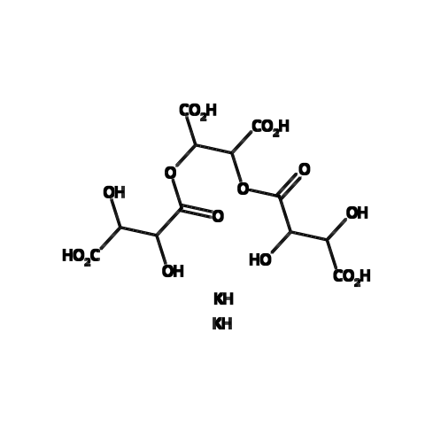 O=C(O)C(O)C(O)C(=O)OC(C(=O)O)C(OC(=O)C(O)C(O)C(=O)O)C(=O)O.[KH].[KH]